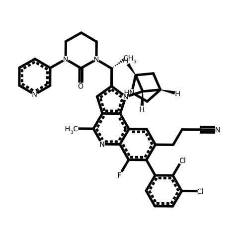 Cc1nc2c(F)c(-c3cccc(Cl)c3Cl)c(CCC#N)cc2c2c1cc([C@@H](C)N1CCCN(c3cccnc3)C1=O)n2[C@H]1[C@H]2CN[C@@H]1C2